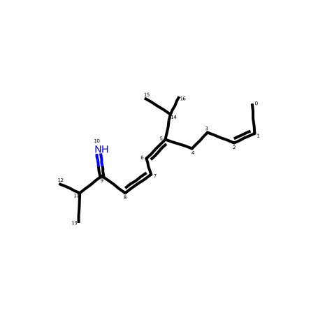 C/C=C\CC/C(=C\C=C/C(=N)C(C)C)C(C)C